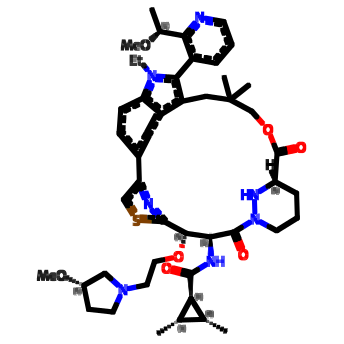 CCn1c(-c2cccnc2[C@H](C)OC)c2c3cc(ccc31)-c1csc(n1)[C@@H](OCCN1CC[C@H](OC)C1)[C@H](NC(=O)[C@H]1[C@H](C)[C@@H]1C)C(=O)N1CCC[C@H](N1)C(=O)OCC(C)(C)C2